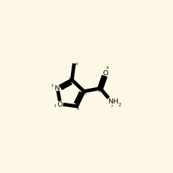 Cc1nocc1C(N)=O